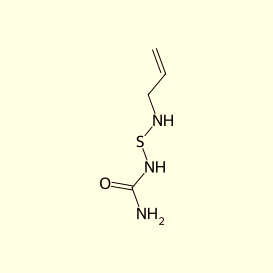 C=CCNSNC(N)=O